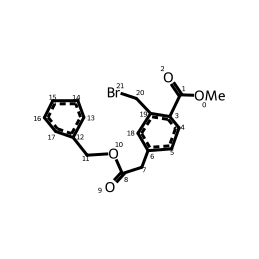 COC(=O)c1ccc(CC(=O)OCc2ccccc2)cc1CBr